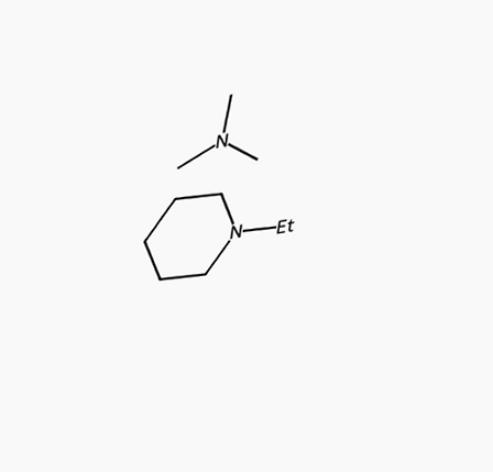 CCN1CCCCC1.CN(C)C